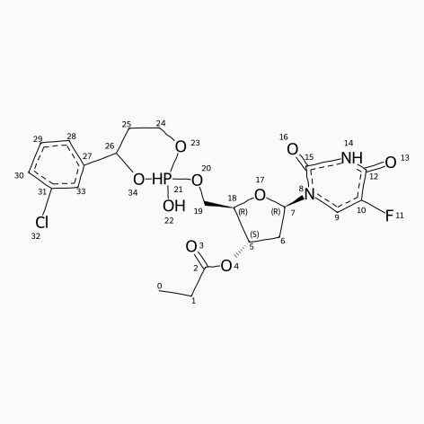 CCC(=O)O[C@H]1C[C@H](n2cc(F)c(=O)[nH]c2=O)O[C@@H]1CO[PH]1(O)OCCC(c2cccc(Cl)c2)O1